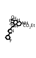 CCOC(=O)N[C@@H]1CC[C@@H]2C(/C=C/c3ccc(-c4cccc(F)c4)cn3)[C@H]3[C@H](C[C@@H]2C1)C(=O)O[C@@H]3C